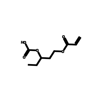 C=CC(=O)OCCC(CC)OC(=O)O